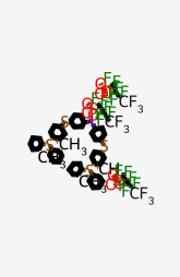 Cc1ccccc1[S+](c1ccc(Sc2ccc([I+]c3ccc(Sc4ccc([S+](c5ccccc5C)c5ccccc5C)cc4)cc3)cc2)cc1)c1ccccc1C.O=S(=O)([O-])C(F)(F)C(F)(F)C(F)(F)C(F)(F)F.O=S(=O)([O-])C(F)(F)C(F)(F)C(F)(F)C(F)(F)F.O=S(=O)([O-])C(F)(F)C(F)(F)C(F)(F)C(F)(F)F